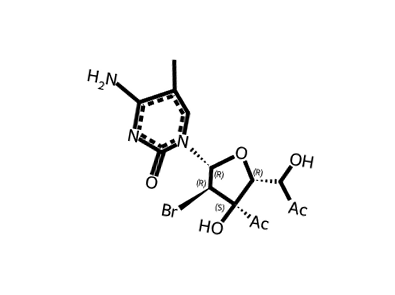 CC(=O)C(O)[C@H]1O[C@@H](n2cc(C)c(N)nc2=O)[C@H](Br)[C@@]1(O)C(C)=O